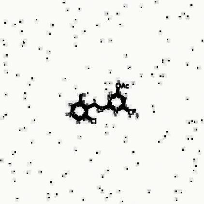 CC(=O)Oc1cc(C(F)(F)F)nc(SCc2c(C)cncc2Cl)n1